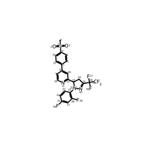 CS(=O)(=O)c1ccc(-c2ccnc(C3CC(C(F)(F)C(F)(F)F)=NN3c3ccc(F)cc3F)c2)cc1